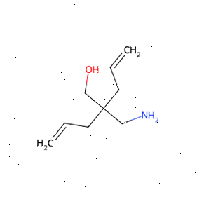 C=CCC(CN)(CO)CC=C